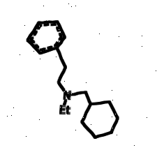 CCN(CCc1ccccc1)CC1CCCCC1